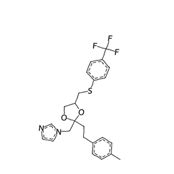 Cc1ccc(CCC2(Cn3ccnc3)OCC(CSc3ccc(C(F)(F)F)cc3)O2)cc1